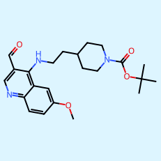 COc1ccc2ncc(C=O)c(NCCC3CCN(C(=O)OC(C)(C)C)CC3)c2c1